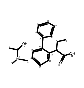 CC(O)N(C)C.CCC(C(=O)O)c1ccccc1-c1ccccc1